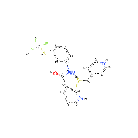 O=C(Nc1cccc(SC(F)(F)F)c1)c1cccnc1SCc1ccncc1